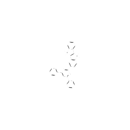 CC1(C)C2=C(c3ccccc31)C(C)(C)c1ccc(-c3nc(-c4ccccc4)cc(-c4ccccc4)n3)cc12